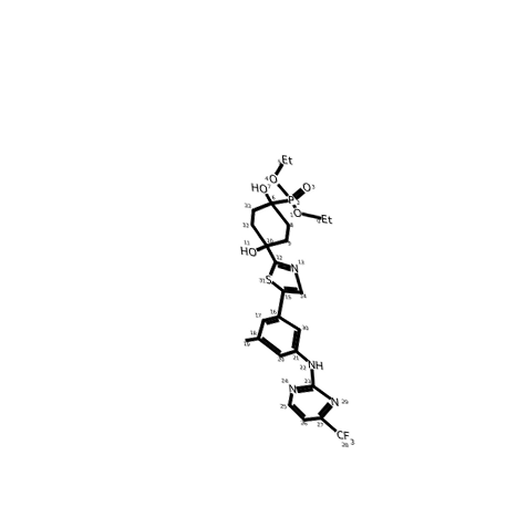 CCOP(=O)(OCC)C1(O)CCC(O)(c2ncc(-c3cc(C)cc(Nc4nccc(C(F)(F)F)n4)c3)s2)CC1